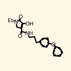 CCN1CC(C(=O)NCCCc2ccc(Oc3ccccc3)cc2)=C(O)C1=O